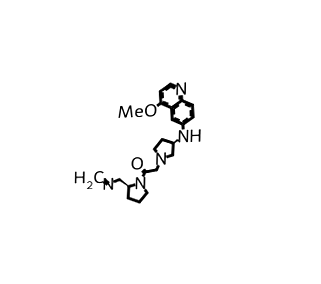 C=NC[C@@H]1CCCN1C(=O)CN1CC[C@@H](Nc2ccc3nccc(OC)c3c2)C1